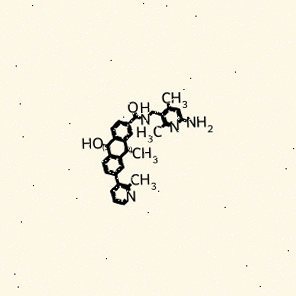 Cc1cc(N)nc(C)c1CNC(=O)c1ccc2c(c1)[C@H](C)c1cc(-c3cccnc3C)ccc1[C@@H]2O